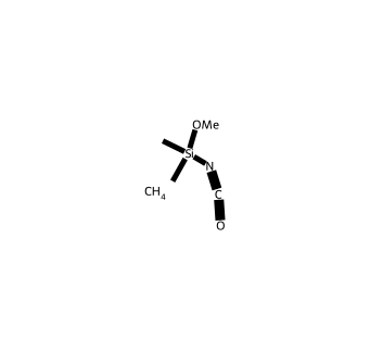 C.CO[Si](C)(C)N=C=O